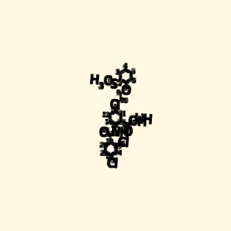 CSc1ccccc1OCCOc1ccc(NC(=O)c2ccc(Cl)cc2Cl)c(C(=O)O)c1.[LiH]